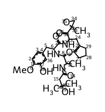 COc1ccc(CC(NC(=O)C(C)NC(=O)CC(C)(C)O)C(=O)NC(CC2=CCCC2)C(=O)C2(C)CO2)cc1O